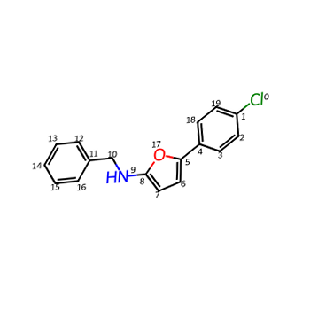 Clc1ccc(-c2ccc(NCc3ccccc3)o2)cc1